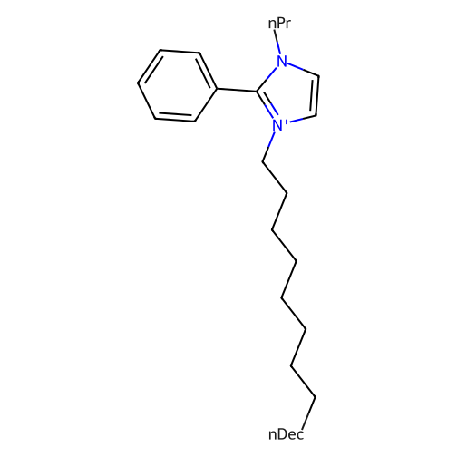 CCCCCCCCCCCCCCCCCC[n+]1ccn(CCC)c1-c1ccccc1